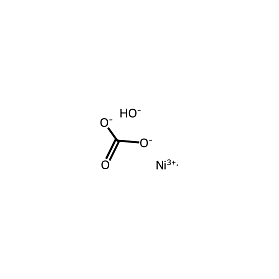 O=C([O-])[O-].[Ni+3].[OH-]